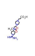 C[N+]1(C2CCN(C(=N)N)CC2)CC(N2CCN(CCC(=O)O)CC2)OC1=O